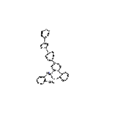 Cc1ccccc1/N=C1\CCc2ccccc2-c2ccc(-c3ccc(-c4ccc(-c5ccccc5)s4)cc3)cc21